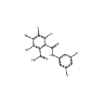 O=C(O)c1c(Cl)c(Cl)c(Cl)c(Cl)c1C(=O)Nc1cc(Cl)cc(Cl)c1